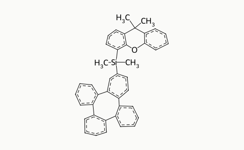 CC1(C)c2ccccc2Oc2c1cccc2[Si](C)(C)c1ccc2c(c1)-c1ccccc1-c1ccccc1-c1ccccc1-2